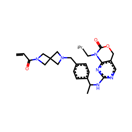 C=CC(=O)N1CC2(CN(Cc3ccc(C(C)Nc4ncc5c(n4)N(CC(C)C)C(=O)OC5)cc3)C2)C1